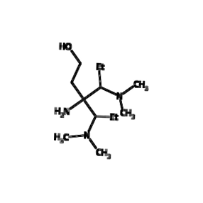 CCC(N(C)C)C(N)(CCO)C(CC)N(C)C